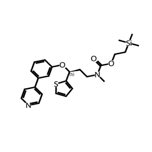 CN(CC[C@H](Oc1cccc(-c2ccncc2)c1)c1cccs1)C(=O)OCC[Si](C)(C)C